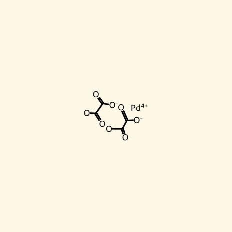 O=C([O-])C(=O)[O-].O=C([O-])C(=O)[O-].[Pd+4]